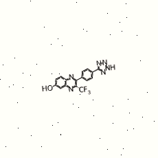 Oc1ccc2nc(-c3ccc(-c4nn[nH]n4)cc3)c(C(F)(F)F)nc2c1